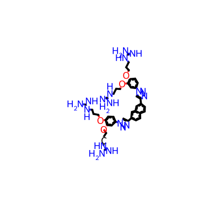 N=C(N)NCCCOc1ccc(-n2cc(-c3ccc4ccc(-c5cn(-c6ccc(OCCCNC(=N)N)c(OCCCNC(=N)N)c6)nn5)cc4c3)nn2)cc1OCCCNC(=N)N